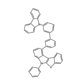 c1ccc(-n2c3cccc(-c4cccc(-c5cccc(-n6c7ccccc7c7ccccc76)c5)c4)c3c3c4ccccc4oc32)cc1